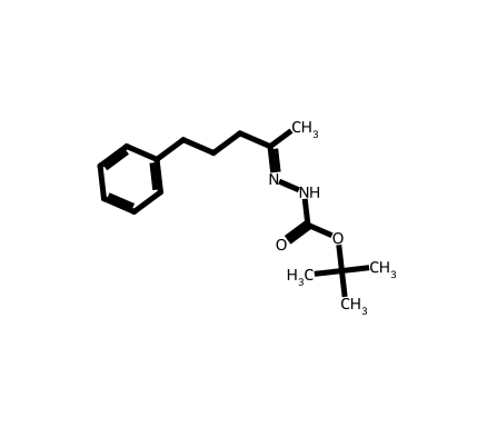 CC(CCCc1ccccc1)=NNC(=O)OC(C)(C)C